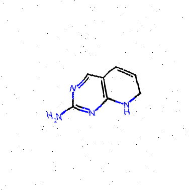 Nc1ncc2c(n1)NCC=C2